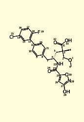 COC[C@](C)(C[C@@H](Cc1ccc(-c2cc(Cl)ccc2F)cc1)NC(=O)c1cc(O)no1)C(=O)O